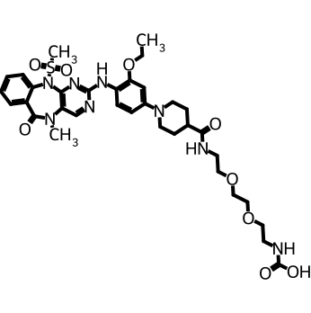 CCOc1cc(N2CCC(C(=O)NCCOCCOCCNC(=O)O)CC2)ccc1Nc1ncc2c(n1)N(S(C)(=O)=O)c1ccccc1C(=O)N2C